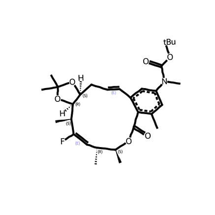 Cc1cc(N(C)C(=O)OC(C)(C)C)cc2c1C(=O)O[C@@H](C)[C@H](C)/C=C(/F)[C@@H](C)[C@H]1OC(C)(C)O[C@H]1C/C=C/2